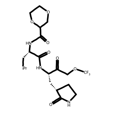 CC(C)C[C@H](NC(=O)C1COCCO1)C(=O)N[C@@H](C[C@@H]1CCNC1=O)C(=O)COC(F)(F)F